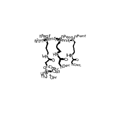 CCCCCCCCCCCC(=O)NCCCN(CCCCC)CCCCC.CCCCCCCCCCCC(=O)NCCCN(CCCCC)CCCCC.CCCCCCCCCCCC(=O)NCCCN(CCCCC)CCCCC.O=P(O)(O)O